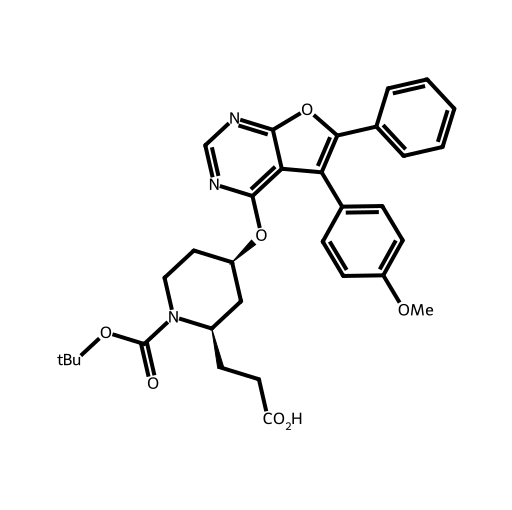 COc1ccc(-c2c(-c3ccccc3)oc3ncnc(O[C@@H]4CCN(C(=O)OC(C)(C)C)[C@H](CCC(=O)O)C4)c23)cc1